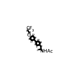 CC(=O)NC(C)Cc1ccc(-c2ccc(OCCC(F)(F)F)cc2)cc1